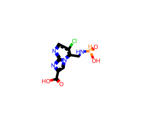 O=C(O)c1cn2c(CN[PH](=O)O)c(Cl)cnc2n1